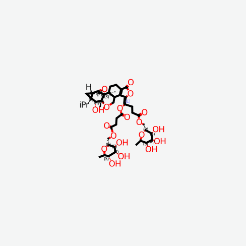 CC1O[C@H](COC(=O)CCC(=O)O/C(CCC(=O)OC[C@H]2OC(C)[C@@H](O)[C@@H](O)[C@@H]2O)=C2/OC(=O)C3=C2C2CO[C@]4(C)[C@H](O)[C@@]5(C(C)C)C[C@H]5[C@@H]5O[C@@]54[C@@]2(C)CC3)[C@@H](O)[C@H](O)[C@@H]1O